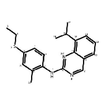 CCSc1ccc(Nc2ncc3cccc(C(C)C)c3n2)c(C)c1